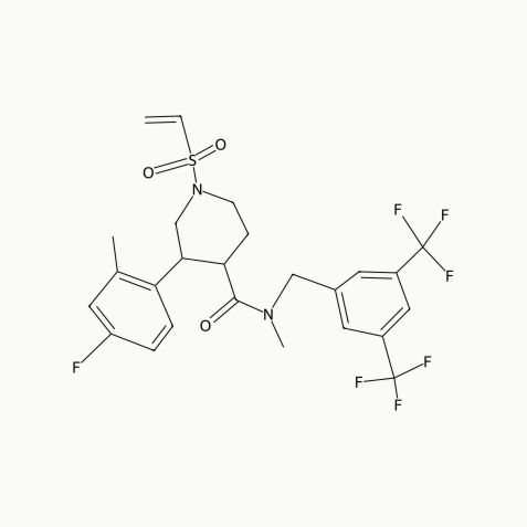 C=CS(=O)(=O)N1CCC(C(=O)N(C)Cc2cc(C(F)(F)F)cc(C(F)(F)F)c2)C(c2ccc(F)cc2C)C1